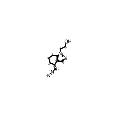 [N-]=[N+]=NC1CCCc2c1cnn2CCO